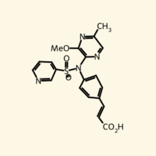 COc1nc(C)cnc1N(c1ccc(C=CC(=O)O)cc1)S(=O)(=O)c1cccnc1